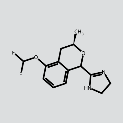 C[C@@H]1Cc2c(OC(F)F)cccc2C(C2=NCCN2)O1